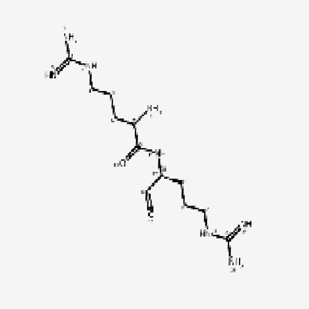 N=C(N)NCCCC(N)C(=O)N[C@H]([C]=O)CCCNC(=N)N